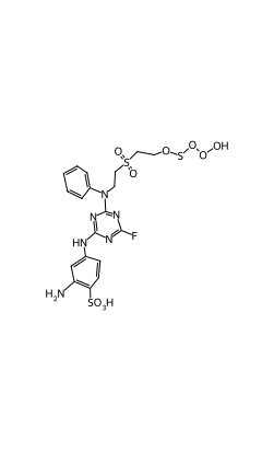 Nc1cc(Nc2nc(F)nc(N(CCS(=O)(=O)CCOSOOO)c3ccccc3)n2)ccc1S(=O)(=O)O